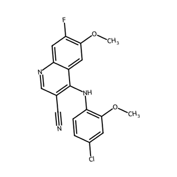 COc1cc2c(Nc3ccc(Cl)cc3OC)c(C#N)cnc2cc1F